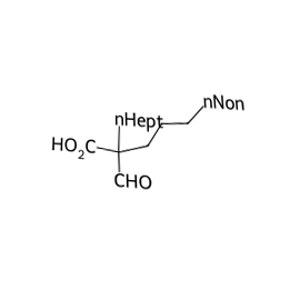 CCCCCCCCCCCCC(C=O)(CCCCCCC)C(=O)O